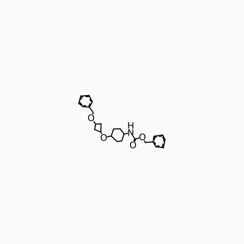 O=C(NC1CCC(OC2CC(OCc3ccccc3)C2)CC1)OCc1ccccc1